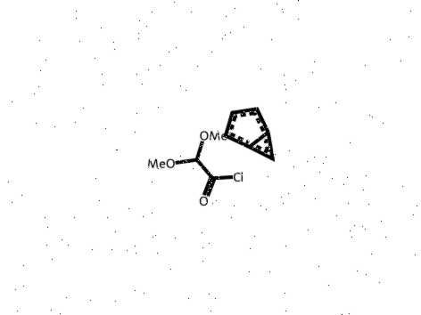 COC(OC)C(=O)Cl.c1cc2cc-2c1